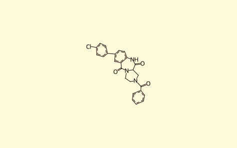 O=C1Nc2ccc(-c3ccc(Cl)cc3)cc2C(=O)N2CCN(C(=O)c3ccccc3)CC12